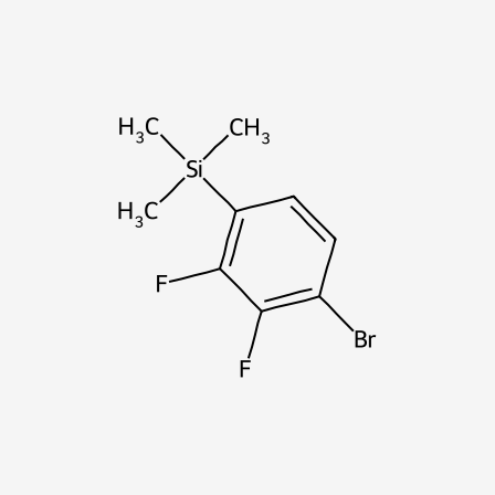 C[Si](C)(C)c1ccc(Br)c(F)c1F